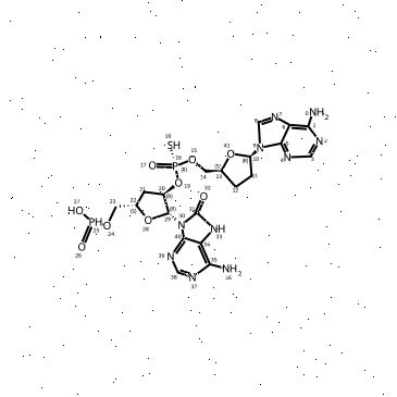 Nc1ncnc2c1ncn2[C@H]1CC[C@@H](CO[P@@](=O)(S)O[C@@H]2C[C@@H](CO[PH](=O)O)O[C@H]2n2c(=O)[nH]c3c(N)ncnc32)O1